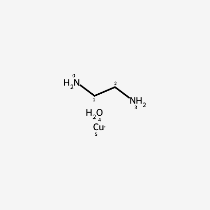 NCCN.O.[Cu]